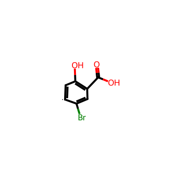 O=C(O)c1cc(Br)[c]cc1O